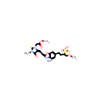 COCC(CCc1ccc2c(c1)OC(=CC=C1C(=O)N(C)C(=S)N1CC(=O)OC)N2)S(=O)(=O)O.[NaH]